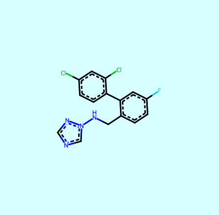 Fc1ccc(CNn2cncn2)c(-c2ccc(Cl)cc2Cl)c1